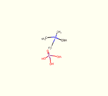 CO[N+](C)(C)C.O=P(O)(O)O